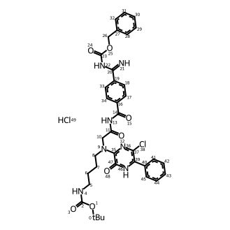 CC(C)(C)OC(=O)NCCCCN(CC(=O)NC(=O)c1ccc(C(=N)NC(=O)OCc2ccccc2)cc1)c1nc(Cl)c(-c2ccccc2)[nH]c1=O.Cl